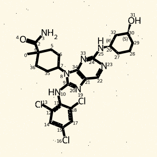 CC1(C(N)=O)CCC(n2c(Nc3c(Cl)cc(Cl)cc3Cl)nc3cnc(N[C@@H]4CCC[C@H](O)C4)nc32)CC1